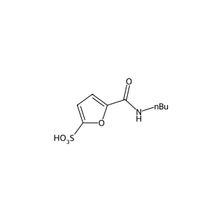 CCCCNC(=O)c1ccc(S(=O)(=O)O)o1